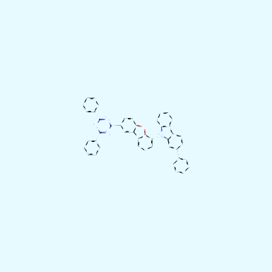 c1ccc(-c2ccc3c4ccccc4n(-c4cccc5c4oc4ccc(-c6nc(-c7ccccc7)nc(-c7ccccc7)n6)cc45)c3c2)cc1